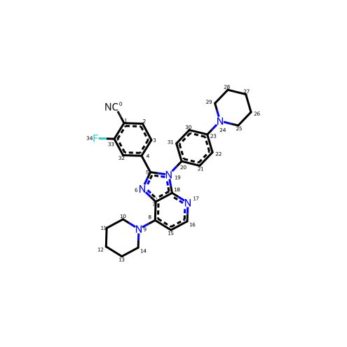 N#Cc1ccc(-c2nc3c(N4CCCCC4)ccnc3n2-c2ccc(N3CCCCC3)cc2)cc1F